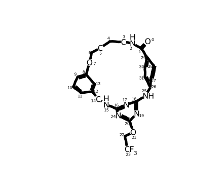 O=C1NCCCCOc2cccc(c2)CNc2nc(nc(OCC(F)(F)F)n2)Nc2ccc1cc2